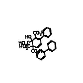 O=C(O)C1=C(c2ccccc2)C=CC(C(=O)O)(C(=O)O)C1(O)C(=O)O.c1ccc(-c2ccccc2)cc1